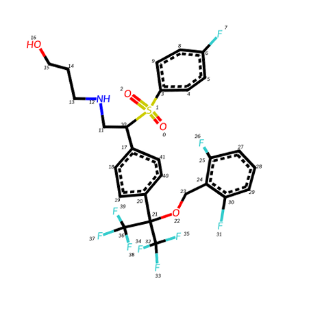 O=S(=O)(c1ccc(F)cc1)C(CNCCCO)c1ccc(C(OCc2c(F)cccc2F)(C(F)(F)F)C(F)(F)F)cc1